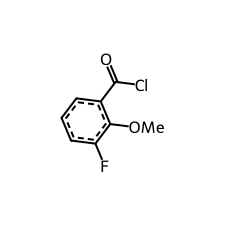 COc1c(F)cccc1C(=O)Cl